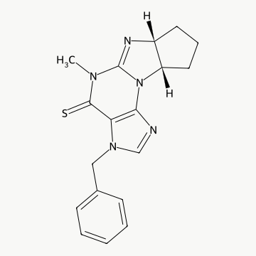 CN1C(=S)c2c(ncn2Cc2ccccc2)N2C1=N[C@@H]1CCC[C@@H]12